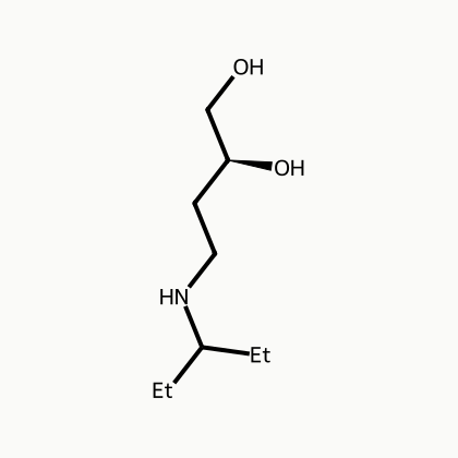 CCC(CC)NCC[C@H](O)CO